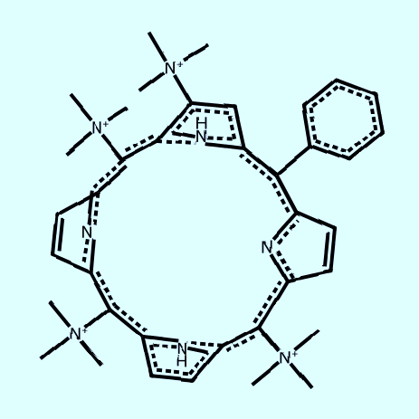 C[N+](C)(C)c1c2nc(c(-c3ccccc3)c3cc([N+](C)(C)C)c([nH]3)c([N+](C)(C)C)c3nc(c([N+](C)(C)C)c4ccc1[nH]4)C=C3)C=C2